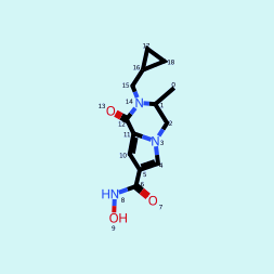 CC1Cn2cc(C(=O)NO)cc2C(=O)N1CC1CC1